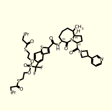 CC(C)CC(=O)SCCOP(=O)(OCCSC(=O)CC(C)C)C(F)(F)c1ccc2sc(C(=O)N[C@H]3CCCC(C)[C@H]4CC[C@@H](C(=O)N5CC(c6cccnc6)C5)N4C3=O)cc2c1